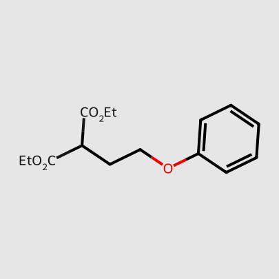 CCOC(=O)C(CCOc1ccccc1)C(=O)OCC